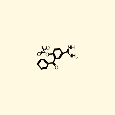 CS(=O)(=O)Oc1ccc(C(=N)N)cc1C(=O)c1ccccc1